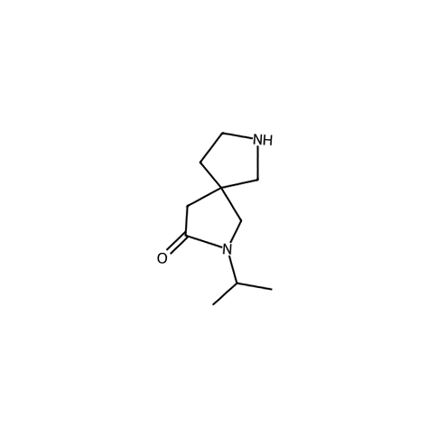 CC(C)N1CC2(CCNC2)CC1=O